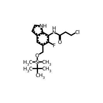 CC(C)(C)[Si](C)(C)OCc1cc2cc[nH]c2c(NC(=O)CCCl)c1F